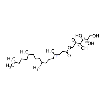 C/C(=C\CC(=O)OCC(=O)[C@H](O)[C@@H](O)[C@H](O)CO)CCCC(C)CCCC(C)CCCC(C)C